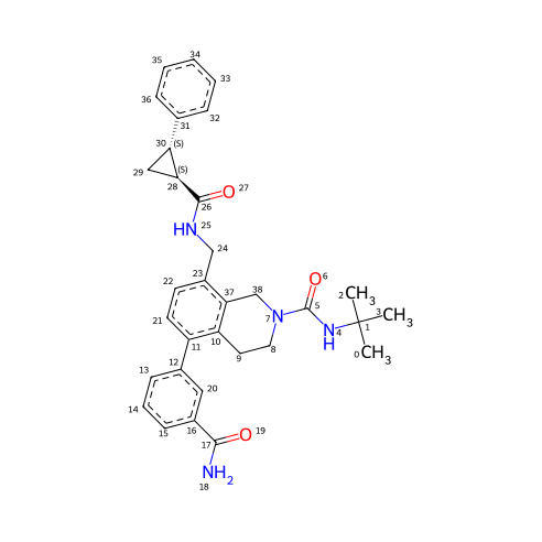 CC(C)(C)NC(=O)N1CCc2c(-c3cccc(C(N)=O)c3)ccc(CNC(=O)[C@H]3C[C@@H]3c3ccccc3)c2C1